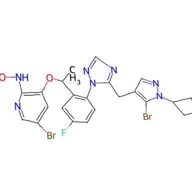 CC(Oc1cc(Br)cnc1NO)c1cc(F)ccc1-n1ncnc1Cc1cnn(C2CCC2)c1Br